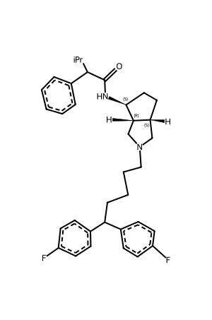 CC(C)C(C(=O)N[C@H]1CC[C@@H]2CN(CCCCC(c3ccc(F)cc3)c3ccc(F)cc3)C[C@@H]21)c1ccccc1